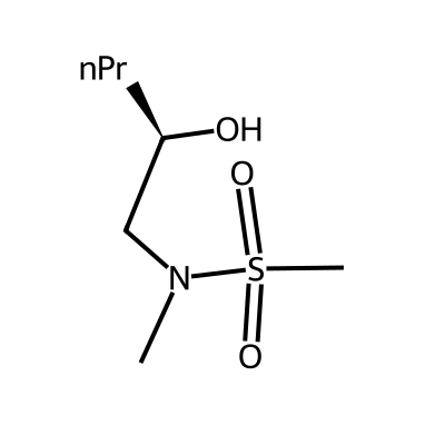 CCC[C@@H](O)CN(C)S(C)(=O)=O